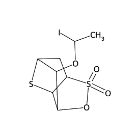 CC(I)OC1C2CC3C(S2)C1OS3(=O)=O